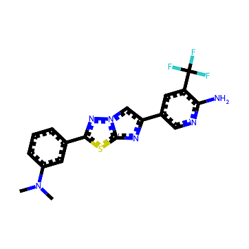 CN(C)c1cccc(-c2nn3cc(-c4cnc(N)c(C(F)(F)F)c4)nc3s2)c1